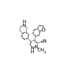 CN1NC=C(c2ccc3c(c2)CNCC3)C(c2ccc3ccoc3c2)=C1C#N